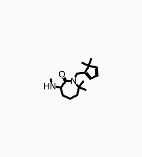 CNC1CCCC(C)(C)N(CC2=CC=CC2(C)C)C1=O